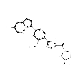 CC(=O)N[C@@H]1CCN(C(=O)c2nnc(-c3cnc(-c4ccc5cc(C#N)cnn45)cc3NC(C)C)s2)C1